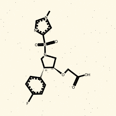 Cn1cnc(S(=O)(=O)N2C[C@@H](OCC(=O)O)[C@H](c3ccc(F)cc3)C2)c1